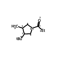 CCC(=O)N1CC(C)C(C(C)(C)C)C1